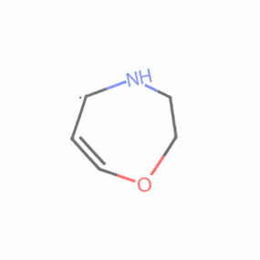 [CH]1C=COCCN1